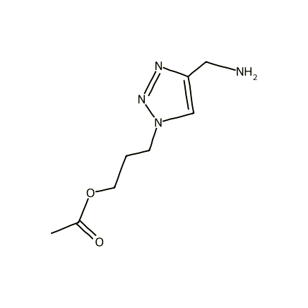 CC(=O)OCCCn1cc(CN)nn1